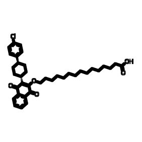 O=C(O)CCCCCCCCCCCCCCOC1=C([C@H]2CC[C@H](c3ccc(Cl)cc3)CC2)C(=O)c2ccccc2C1=O